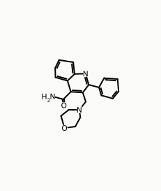 NC(=O)c1c(CN2CCOCC2)c(-c2ccccc2)nc2ccccc12